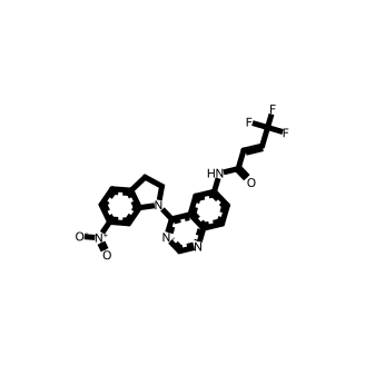 O=C(C=CC(F)(F)F)Nc1ccc2ncnc(N3CCc4ccc([N+](=O)[O-])cc43)c2c1